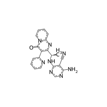 C[C@@H](Nc1ncnc(N)c1C#N)c1nc2ccccn2c(=O)c1-c1ccccn1